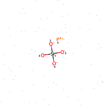 [O-][Si]([O-])([O-])[O-].[P+4]